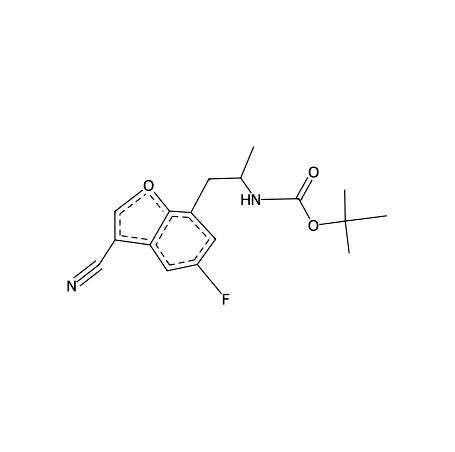 CC(Cc1cc(F)cc2c(C#N)coc12)NC(=O)OC(C)(C)C